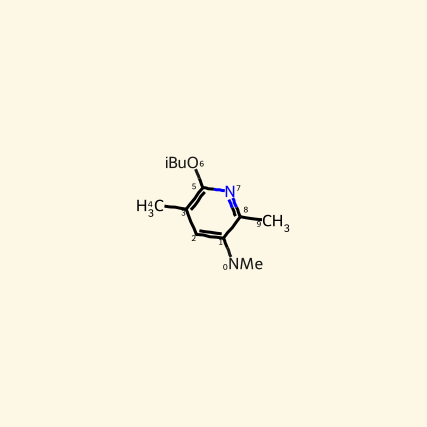 CNc1cc(C)c(OCC(C)C)nc1C